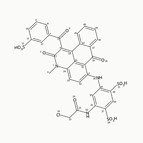 Cn1c(=O)c(C(=O)c2cccc(S(=O)(=O)O)c2)c2c3c(c(Nc4cc(NC(=O)CCl)c(S(=O)(=O)O)cc4S(=O)(=O)O)ccc31)C(=O)c1ccccc1-2